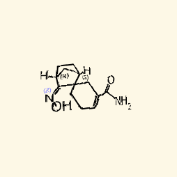 NC(=O)C1=CCCC2(C1)/C(=N\O)[C@@H]1CC[C@H]2C1